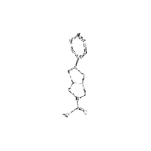 O=C(O)N1CC2CN(c3ccncc3)CC2C1